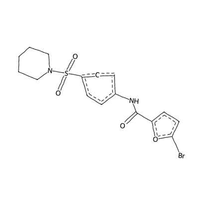 O=C(Nc1ccc(S(=O)(=O)N2CCCCC2)cc1)c1ccc(Br)o1